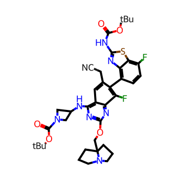 CC(C)(C)OC(=O)Nc1nc2c(-c3c(CC#N)cc4c(NC5CN(C(=O)OC(C)(C)C)C5)nc(OCC56CCCN5CCC6)nc4c3F)ccc(F)c2s1